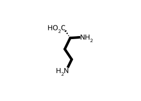 NCC[C@@H](N)C(=O)O